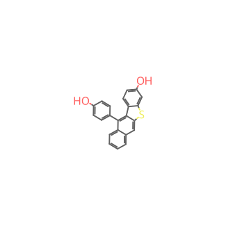 Oc1ccc(-c2c3ccccc3cc3sc4cc(O)ccc4c23)cc1